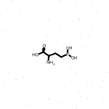 NC(CCP(O)O)C(=O)O